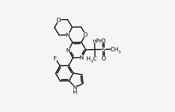 CCCC(C)(c1nc(-c2c(F)ccc3[nH]ccc23)nc2c1OCC1COCCN21)S(C)(=O)=O